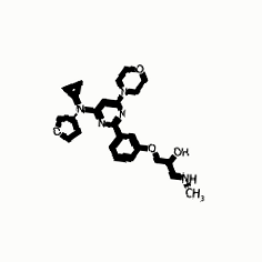 CNCC(O)COc1cccc(-c2nc(N3CCOCC3)cc(N(C3CC3)[C@@H]3CCOC3)n2)c1